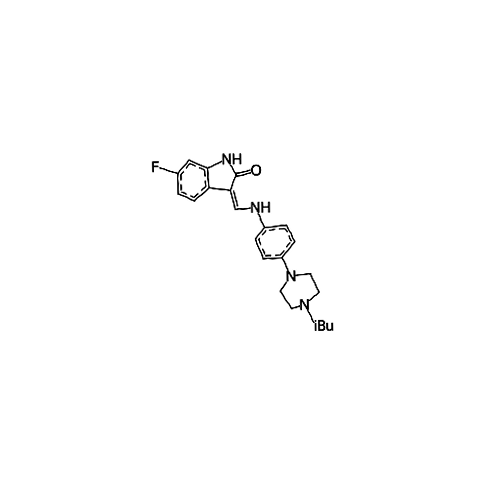 CCC(C)N1CCN(c2ccc(NC=C3C(=O)Nc4cc(F)ccc43)cc2)CC1